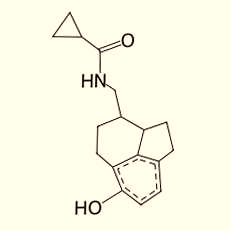 O=C(NCC1CCc2c(O)ccc3c2C1CC3)C1CC1